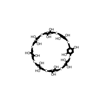 OC1=CC2Cc3cc(O)c(cc3O)Cc3cc(O)c(cc3O)Cc3cc(O)c(cc3O)Cc3cc(O)c(cc3O)Cc3cc(O)c(cc3O)Cc3cc(O)c(cc3O)Cc3cc(O)c(cc3O)CC1=CC2O